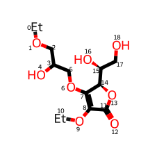 CCOCC(O)COC1=C(OCC)C(=O)O[C@@H]1[C@@H](O)CO